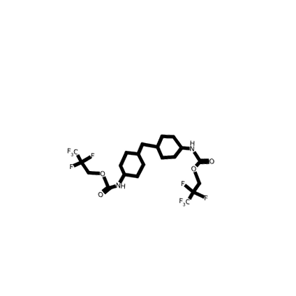 O=C(NC1CCC(CC2CCC(NC(=O)OCC(F)(F)C(F)(F)F)CC2)CC1)OCC(F)(F)C(F)(F)F